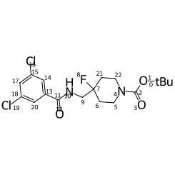 CC(C)(C)OC(=O)N1CCC(F)(CNC(=O)c2cc(Cl)cc(Cl)c2)CC1